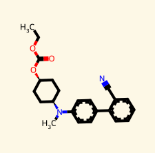 CCOC(=O)O[C@H]1CC[C@@H](N(C)c2ccc(-c3ccccc3C#N)cc2)CC1